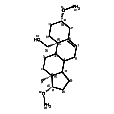 C[C@]12CCC3C(CC=C4C[C@@H](OP)CC[C@@]43CO)C1CC[C@@H]2OP